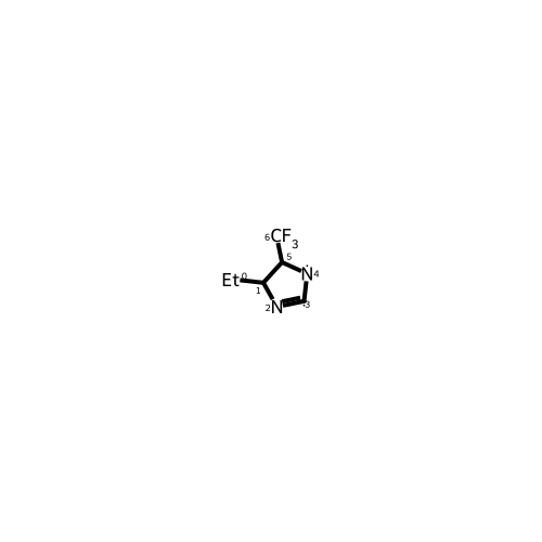 CCC1N=[C][N]C1C(F)(F)F